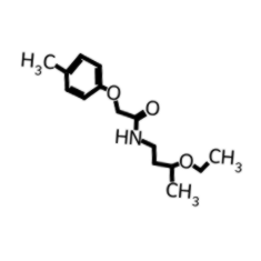 CCOC(C)CCNC(=O)COc1ccc(C)cc1